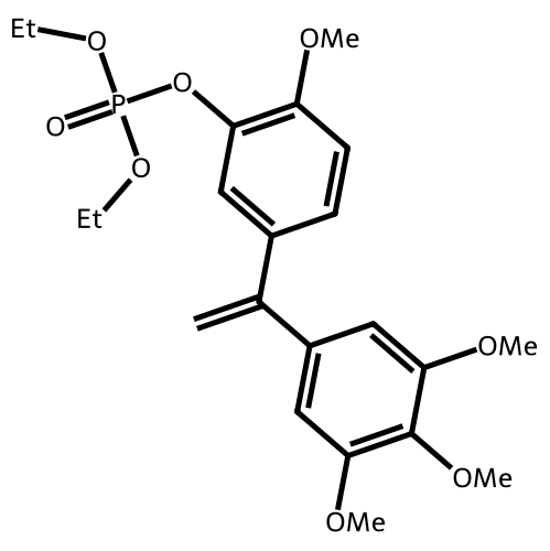 C=C(c1ccc(OC)c(OP(=O)(OCC)OCC)c1)c1cc(OC)c(OC)c(OC)c1